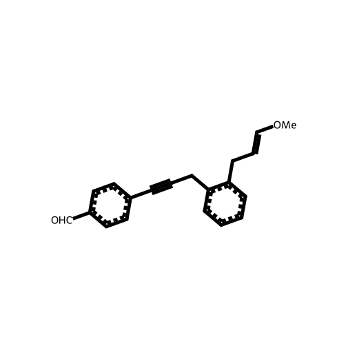 COC=CCc1ccccc1CC#Cc1ccc(C=O)cc1